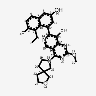 CCc1c(F)ccc2cc(O)cc(-c3ncc4c(N5CCC6(CCOC6)C5)nc(OC)nc4c3F)c12